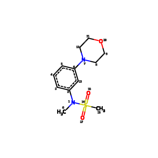 CN(c1cccc(N2CCOCC2)c1)S(C)(=O)=O